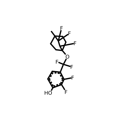 CC12CCC(OC(F)(F)c3ccc(O)c(F)c3F)(CC1)C(F)C2(F)F